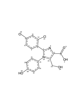 O=C(O)c1nc(-c2ccc(Cl)cc2Cl)n(-c2ccc(O)cc2)c1CO